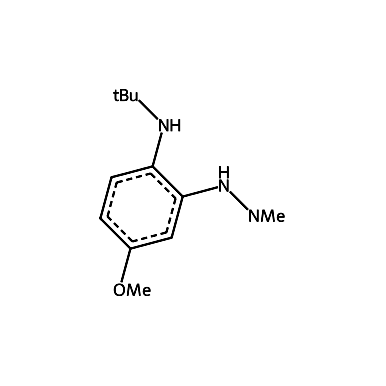 CNNc1cc(OC)ccc1NC(C)(C)C